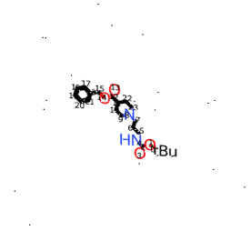 CC(C)(C)OC(=O)NCCCN1CCC(C(=O)OCc2ccccc2)CC1